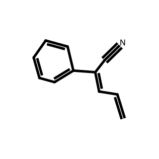 C=CC=C(C#N)c1ccccc1